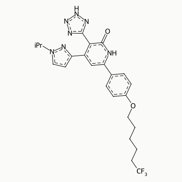 CC(C)n1ccc(-c2cc(-c3ccc(OCCCCCC(F)(F)F)cc3)[nH]c(=O)c2-c2nn[nH]n2)n1